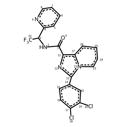 O=C(NC(c1ccccn1)C(F)(F)F)c1nc(-c2ccc(Cl)c(Cl)c2)n2ccccc12